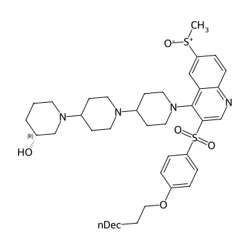 CCCCCCCCCCCCOc1ccc(S(=O)(=O)c2cnc3ccc([S+](C)[O-])cc3c2N2CCC(N3CCC(N4CCC[C@@H](O)C4)CC3)CC2)cc1